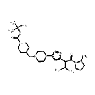 CC(C)C(C(=O)N1CCCC1C)c1cc(N2CCN(CC3CCN(C(=O)OC(C)(C)C)CC3)CC2)no1